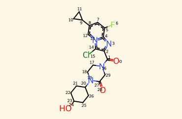 O=C(c1nc2c(F)cc(C3CC3)cn2c1Cl)N1CCN(C2CCC(O)CC2)C(=O)C1